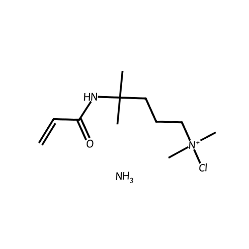 C=CC(=O)NC(C)(C)CCC[N+](C)(C)Cl.N